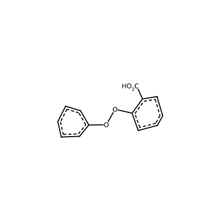 O=C(O)c1ccccc1OOc1ccccc1